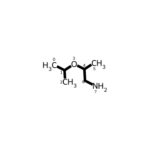 CC(C)OC(C)CN